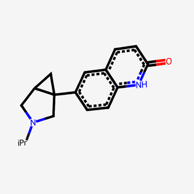 CC(C)N1CC2CC2(c2ccc3[nH]c(=O)ccc3c2)C1